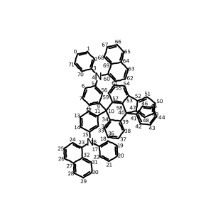 c1ccc(N(c2cccc(C3(c4cccc(N(c5ccccc5)c5cccc6ccccc56)c4)c4ccccc4C4(c5ccccc5)c5ccccc5-c5cccc3c54)c2)c2cccc3ccccc23)cc1